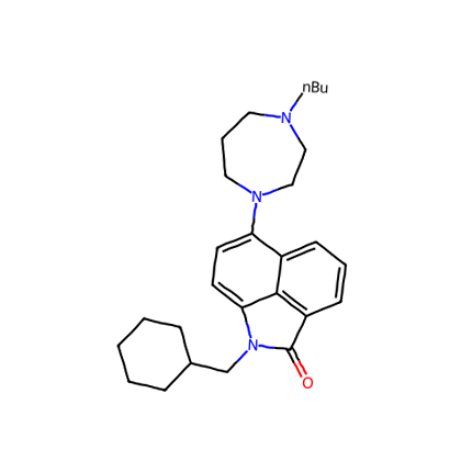 CCCCN1CCCN(c2ccc3c4c(cccc24)C(=O)N3CC2CCCCC2)CC1